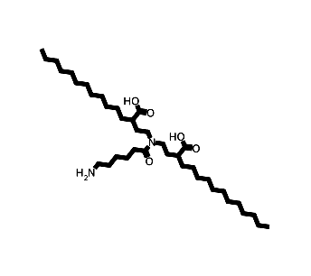 CCCCCCCCCCCCC(CCN(CCC(CCCCCCCCCCCC)C(=O)O)C(=O)CCCCCN)C(=O)O